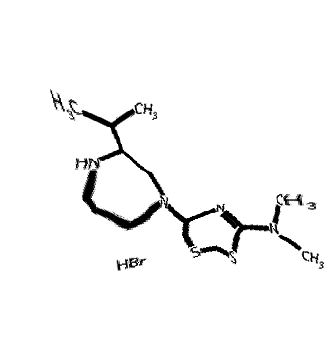 Br.CC(C)C1CN(C2N=C(N(C)C)SS2)CCN1